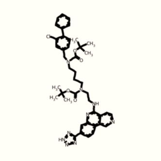 CC(C)(C)OC(=O)N(CCCCN(Cc1ccc(-c2ccccc2)c(Cl)c1)C(=O)OC(C)(C)C)CCNc1nc2cc(-c3nn[nH]n3)ccc2c2cnccc12